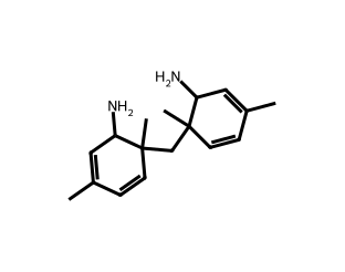 CC1=CC(N)C(C)(CC2(C)C=CC(C)=CC2N)C=C1